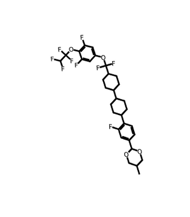 CC1COC(c2ccc(C3CCC(C4CCC(C(F)(F)Oc5cc(F)c(OC(F)(F)C(F)F)c(F)c5)CC4)CC3)c(F)c2)OC1